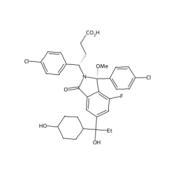 CCC(O)(c1cc(F)c2c(c1)C(=O)N([C@@H](CCC(=O)O)c1ccc(Cl)cc1)[C@@]2(OC)c1ccc(Cl)cc1)C1CCC(O)CC1